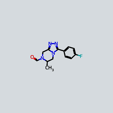 CC1Cn2c(nnc2-c2ccc(F)cc2)CN1C=O